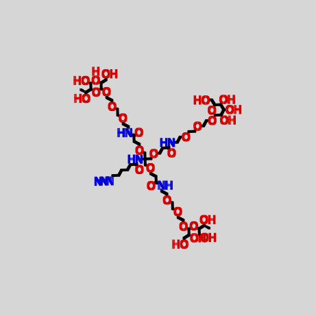 C[C@H](O)C(CO)O[C@H](OCCOCCOCCNC(=O)CCOCC(COCCC(=O)NCCOCCOCCO[C@@H](OC(CO)[C@H](C)O)[C@H](O)CO)(COCCC(=O)NCCOCCOCCO[C@H]1OC(CO)[C@@H](O)C(O)[C@H]1O)NC(=O)CCCCCN=[N+]=[N-])[C@H](O)CO